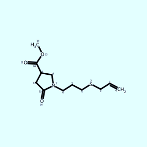 C=CCSCCCN1CC(C(=O)OC)CC1=O